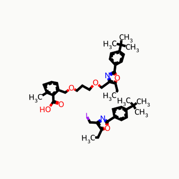 CCc1oc(-c2ccc(C(C)(C)C)cc2)nc1CI.CCc1oc(-c2ccc(C(C)(C)C)cc2)nc1COCCCOCc1cccc(C)c1C(=O)O